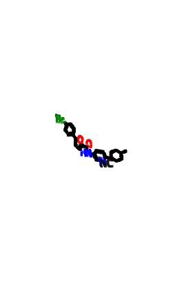 CC1CCC(C#N)(c2ccc(NC(=O)c3ccc(-c4ccc(Br)cc4)o3)cn2)CC1